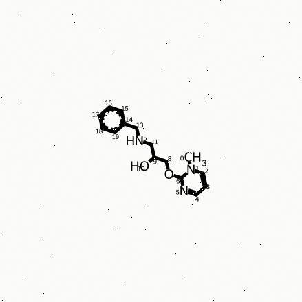 CN1C=CC=NC1OCC(O)CNCc1ccccc1